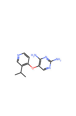 CC(C)c1cnccc1Oc1cnc(N)nc1N